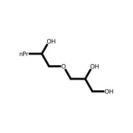 CCCC(O)COCC(O)CO